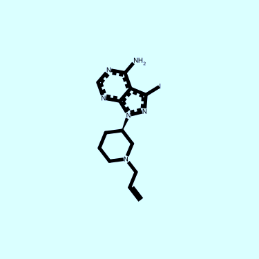 C=CCN1CCC[C@@H](n2nc(I)c3c(N)ncnc32)C1